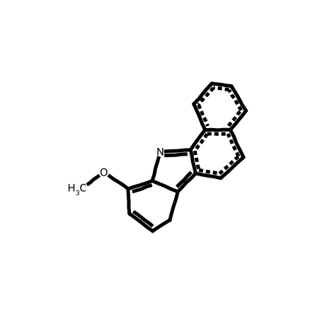 COC1=C2N=c3c(ccc4ccccc34)=C2CC=C1